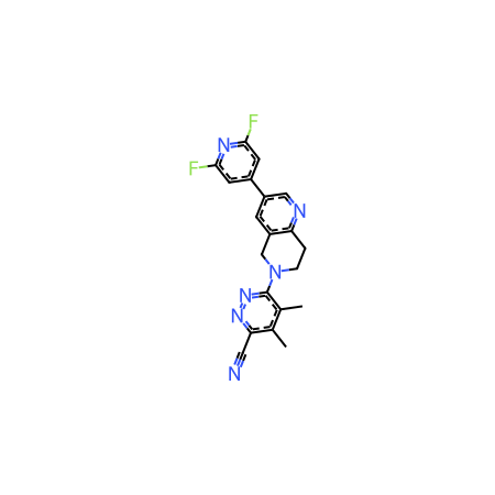 Cc1c(C#N)nnc(N2CCc3ncc(-c4cc(F)nc(F)c4)cc3C2)c1C